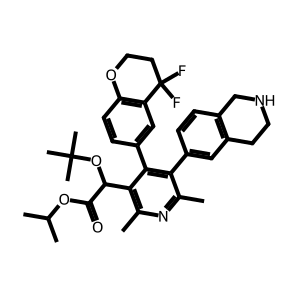 Cc1nc(C)c(C(OC(C)(C)C)C(=O)OC(C)C)c(-c2ccc3c(c2)C(F)(F)CCO3)c1-c1ccc2c(c1)CCNC2